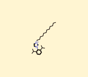 CCCCCCCCCCCC[n+]1ccn(-c2c(C(C)C)cccc2C(C)C)c1